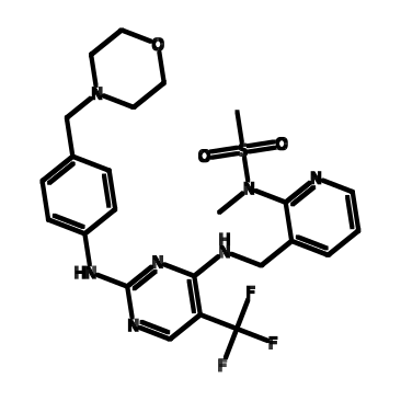 CN(c1ncccc1CNc1nc(Nc2ccc(CN3CCOCC3)cc2)ncc1C(F)(F)F)S(C)(=O)=O